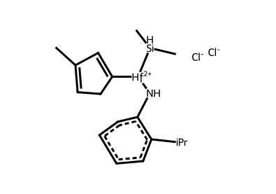 CC1=CC[C]([Hf+2]([NH]c2ccccc2C(C)C)[SiH](C)C)=C1.[Cl-].[Cl-]